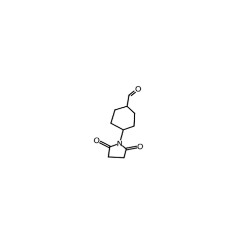 O=CC1CCC(N2C(=O)CCC2=O)CC1